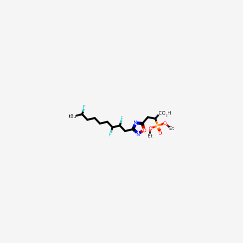 CCOP(=O)(OCC)C(Cc1nc(CC(F)C(F)CCCCC(F)C(C)(C)C)no1)C(=O)O